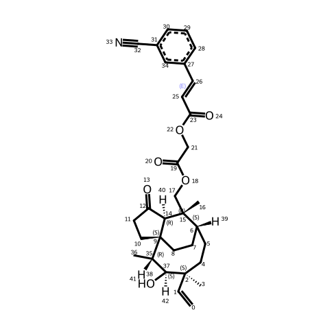 C=C[C@]1(C)CC[C@@H]2CC[C@]3(CCC(=O)[C@H]3[C@]2(C)COC(=O)COC(=O)/C=C/c2cccc(C#N)c2)[C@@H](C)[C@@H]1O